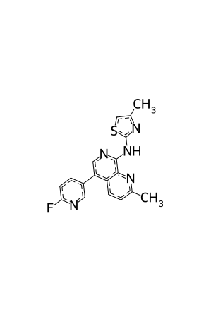 Cc1csc(Nc2ncc(-c3ccc(F)nc3)c3ccc(C)nc23)n1